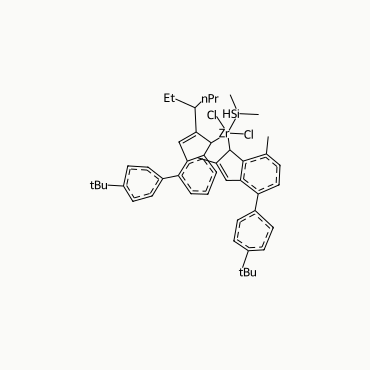 CCCC(CC)C1=Cc2c(-c3ccc(C(C)(C)C)cc3)cccc2[CH]1[Zr]([Cl])([Cl])([CH]1C(C)=Cc2c(-c3ccc(C(C)(C)C)cc3)ccc(C)c21)[SiH](C)C